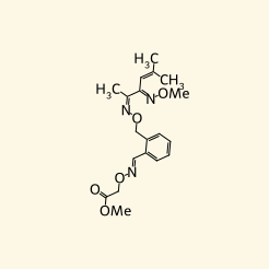 CON=C(C=C(C)C)C(C)=NOCc1ccccc1C=NOCC(=O)OC